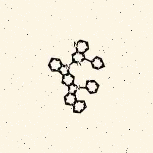 c1ccc(-c2nc(-n3c4ccccc4c4cc5c6ccc7ccccc7c6n(-c6ccccc6)c5cc43)cc3ncccc23)cc1